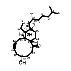 CC(C)CCC[C@@H](C)[C@H]1CC[C@H]2[C@@H]3CC#CC[C@@H](O)CCC(=O)[C@H]3CC[C@]12C